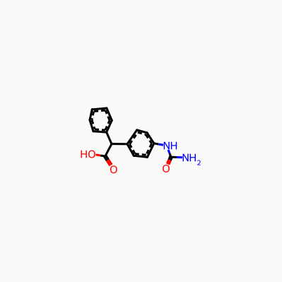 NC(=O)Nc1ccc(C(C(=O)O)c2ccccc2)cc1